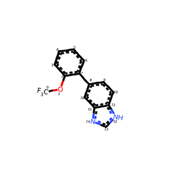 FC(F)(F)Oc1ccccc1-c1ccc2[nH]cnc2c1